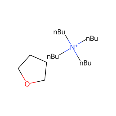 C1CCOC1.CCCC[N+](CCCC)(CCCC)CCCC